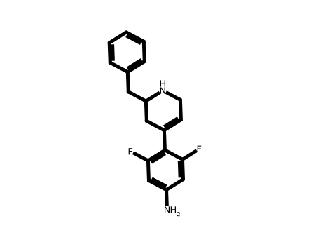 Nc1cc(F)c(C2=CCNC(Cc3ccccc3)C2)c(F)c1